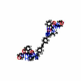 O=C(N[C@@H](C(=O)N1CCC[C@H]1c1cc(-c2ccc(C#Cc3ccc(-c4cnc([C@@H]5CCCN5C(=O)[C@H](NC(=O)N5CCOCC5)c5ccccc5)[nH]4)cc3)cc2)n[nH]1)c1ccccc1)N1CCOCC1